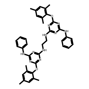 Cc1cc(C)c(Oc2nc(NCCNc3nc(Nc4ccccc4)nc(Oc4c(C)cc(C)cc4C)n3)nc(Nc3ccccc3)n2)c(C)c1